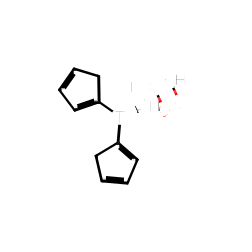 C[O-].C[O-].[CH2]=[Ti+2]([C]1=CC=CC1)[C]1=CC=CC1